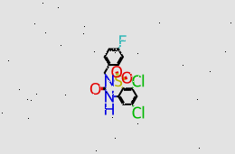 O=C1Nc2cc(Cl)cc(Cl)c2S(=O)(=O)N1Cc1ccc(F)cc1